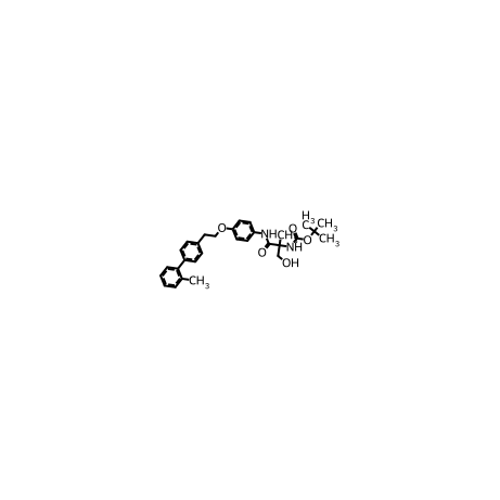 Cc1ccccc1-c1ccc(CCOc2ccc(NC(=O)C(C)(CO)NC(=O)OC(C)(C)C)cc2)cc1